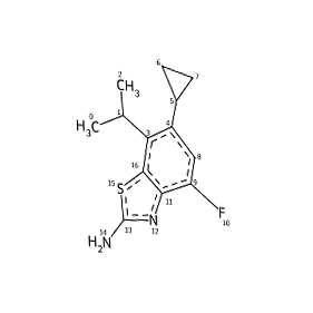 CC(C)c1c(C2CC2)cc(F)c2nc(N)sc12